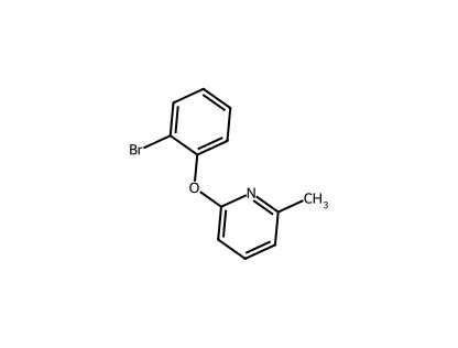 Cc1cccc(Oc2ccccc2Br)n1